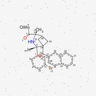 COC(=O)[C@@]1(C)N[C@@H](c2cccc(Br)c2)C2(C(=O)c3ccc4ccccc4c3)CC1C2